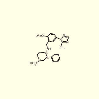 COc1ccc(-n2nnnc2C(F)(F)F)cc1CN[C@H]1CCN(C(=O)O)C[C@H]1c1ccccc1